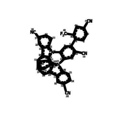 N#Cc1ccc(-c2cc(-n3c4ccccc4c4cc(C#N)ccc43)c(-n3c4ccccc4c4cc(C#N)ccc43)cc2C#N)c(C(F)(F)F)c1